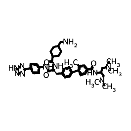 Cc1cc(C(=O)NC(CN(C)C)CN(C)C)ccc1-c1ccc(C[C@H](NC(=O)C2CCC(CN)CC2)C(=O)Nc2ccc(-c3nn[nH]n3)cc2)cc1